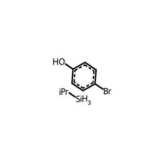 CC(C)[SiH3].Oc1ccc(Br)cc1